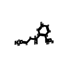 C=CCNc1cnccc1[N+](=O)[O-]